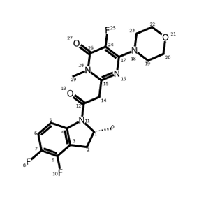 C[C@@H]1Cc2c(ccc(F)c2F)N1C(=O)Cc1nc(N2CCOCC2)c(F)c(=O)n1C